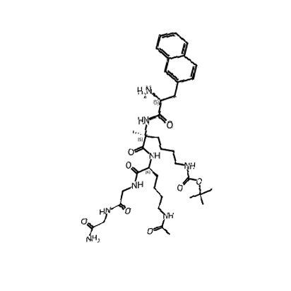 CC(=O)NCCCC[C@H](NC(=O)[C@](C)(CCCCNC(=O)OC(C)(C)C)NC(=O)[C@@H](N)Cc1ccc2ccccc2c1)C(=O)NCC(=O)NCC(N)=O